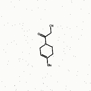 CC(C)(C)C1=CCN(C(=O)CC#N)CC1